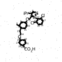 Cc1cc(OCc2c(C(C)C)cnn2-c2c(Cl)cccc2Cl)ccc1CCOc1ccc(C(=O)O)cc1